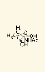 CC(=O)NC12C(O)OC1C(C)(C)C[C@H]2O